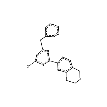 Clc1cc(Cc2ccccc2)nc(-c2ccc3c(n2)CCCC3)n1